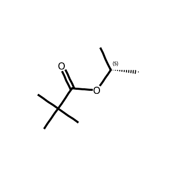 [CH2][C@@H](C)OC(=O)C(C)(C)C